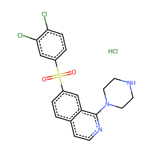 Cl.O=S(=O)(c1ccc(Cl)c(Cl)c1)c1ccc2ccnc(N3CCNCC3)c2c1